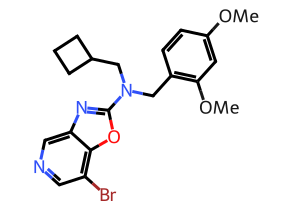 COc1ccc(CN(CC2CCC2)c2nc3cncc(Br)c3o2)c(OC)c1